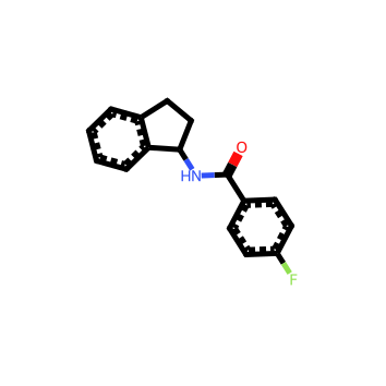 O=C(NC1CCc2ccccc21)c1ccc(F)cc1